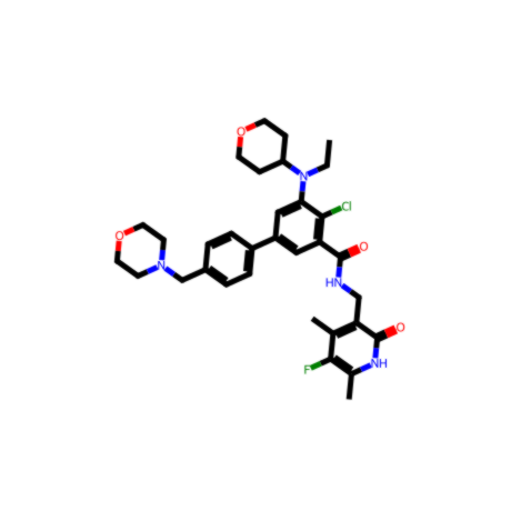 CCN(c1cc(-c2ccc(CN3CCOCC3)cc2)cc(C(=O)NCc2c(C)c(F)c(C)[nH]c2=O)c1Cl)C1CCOCC1